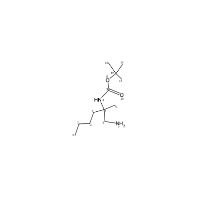 CCCCC(C)(CN)NC(=O)OC(C)(C)C